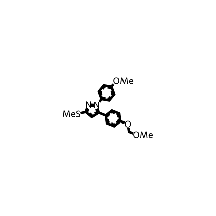 COCOc1ccc(-c2cc(SC)nn2-c2ccc(OC)cc2)cc1